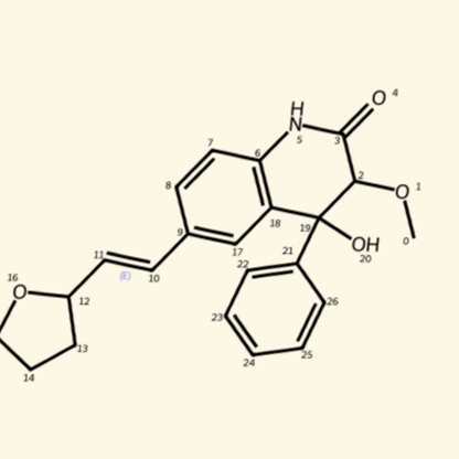 COC1C(=O)Nc2ccc(/C=C/C3CCCO3)cc2C1(O)c1ccccc1